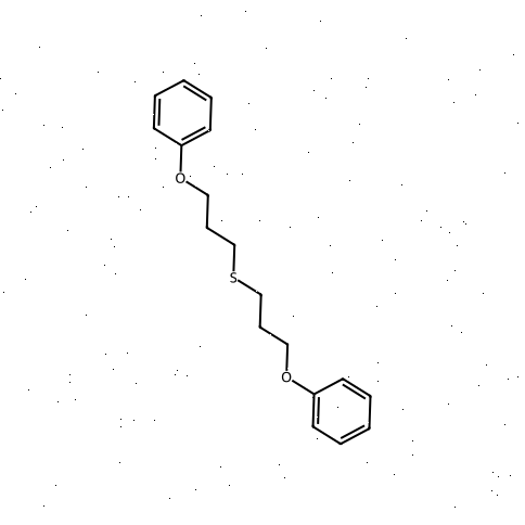 c1ccc(OCCCSCCCOc2ccccc2)cc1